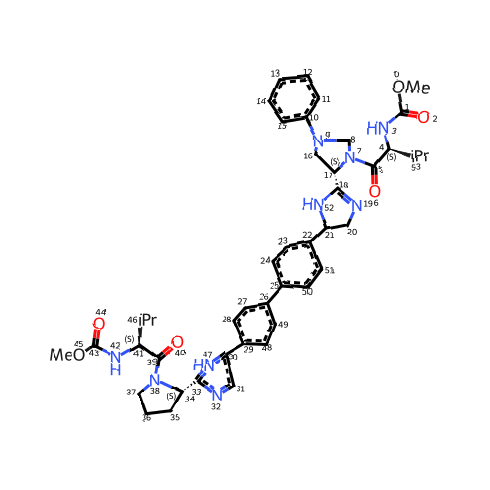 COC(=O)N[C@H](C(=O)N1CN(c2ccccc2)C[C@H]1C1=NCC(c2ccc(-c3ccc(-c4cnc([C@@H]5CCCN5C(=O)[C@@H](NC(=O)OC)C(C)C)[nH]4)cc3)cc2)N1)C(C)C